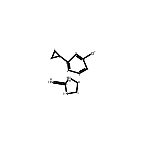 Clc1cccc(C2CC2)c1.N=C1NCCN1